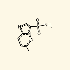 Cc1ccc2ncc(S(N)(=O)=O)n2n1